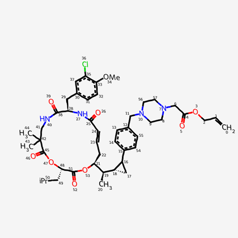 C=CCOC(=O)CN1CCN(Cc2ccc(C3C[C@@H]3[C@@H](C)[C@@H]3C/C=C/C(=O)N[C@H](Cc4ccc(OC)c(Cl)c4)C(=O)NCC(C)(C)C(=O)O[C@@H](CC(C)C)C(=O)O3)cc2)CC1